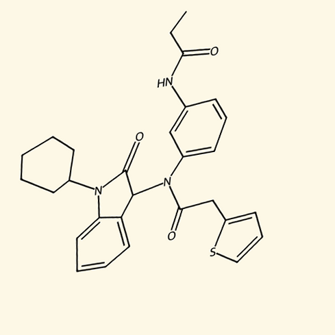 CCC(=O)Nc1cccc(N(C(=O)Cc2cccs2)C2C(=O)N(C3CCCCC3)c3ccccc32)c1